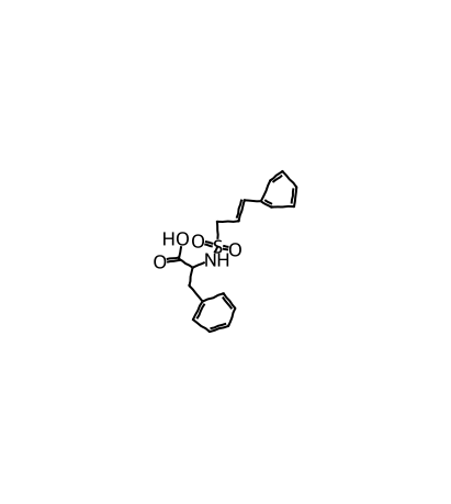 O=C(O)C(Cc1ccccc1)NS(=O)(=O)C/C=C/c1ccccc1